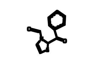 O=CN1C=CSC1C(=O)c1ccccc1